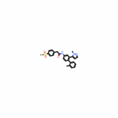 CCS(=O)(=O)c1ccc(CC(=O)Nc2ccc(-c3ccccc3C)c(-c3ccnn3C)c2)cc1